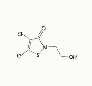 O=c1c(Cl)c(Cl)sn1CCO